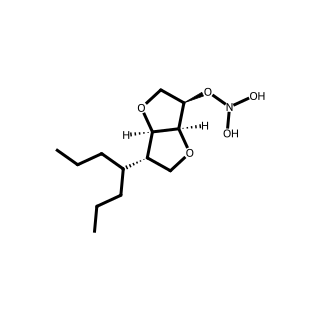 CCCC(CCC)[C@H]1CO[C@H]2[C@@H]1OC[C@H]2ON(O)O